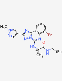 C[C@@H](Nc1nc2c(Br)cccc2c2nc(-c3cnn(C)c3)nn12)C(=O)NCC(C)(C)C